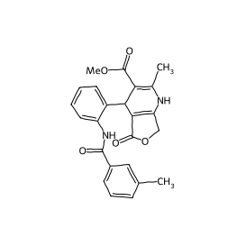 COC(=O)C1=C(C)NC2=C(C(=O)OC2)C1c1ccccc1NC(=O)c1cccc(C)c1